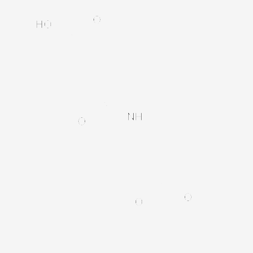 CCOC(=O)CCNC(=O)CCC(=O)O